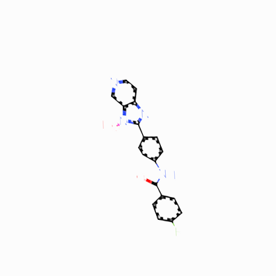 O=C(Nc1ccc(-c2nc3ccncc3n2O)cc1)c1ccc(F)cc1